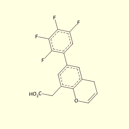 O=C(O)Cc1cc(-c2cc(F)c(F)c(F)c2F)cc2c1OC=CC2